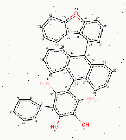 Bc1c(O)c(O)c(-c2ccccc2)c(B)c1-c1c2ccccc2c(-c2cccc3oc4ccccc4c23)c2ccccc12